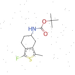 Cc1sc(F)c2c1CC(NC(=O)OC(C)(C)C)CC2